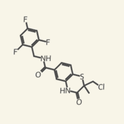 CC1(CCl)Sc2ccc(C(=O)NCc3c(F)cc(F)cc3F)cc2NC1=O